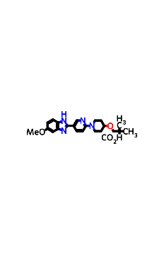 COc1ccc2[nH]c(-c3ccc(N4CCC(OCC(C)(C)C(=O)O)CC4)nc3)nc2c1